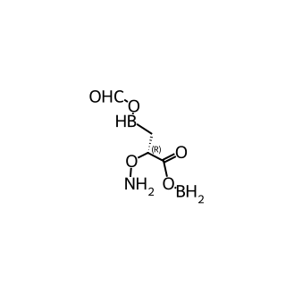 BOC(=O)[C@@H](CBOC=O)ON